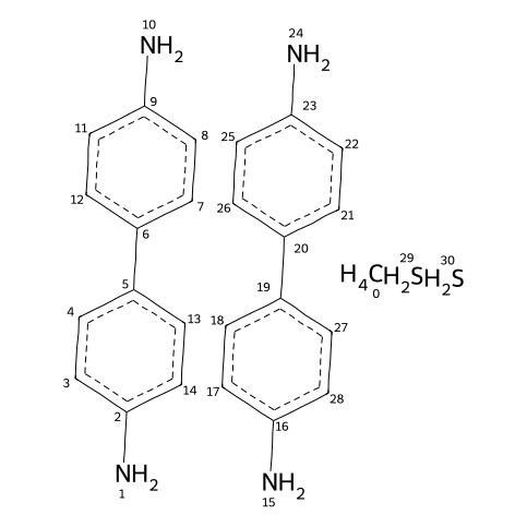 C.Nc1ccc(-c2ccc(N)cc2)cc1.Nc1ccc(-c2ccc(N)cc2)cc1.S.S